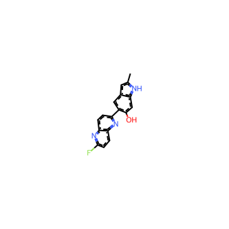 Cc1cc2cc(-c3ccc4nc(F)ccc4n3)c(O)cc2[nH]1